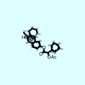 CC(=O)OC(C(=O)Oc1ccc2c(c1)[C@@]13CCCC[C@H]1[C@@H](C2)N(C)CC3)c1ccccc1